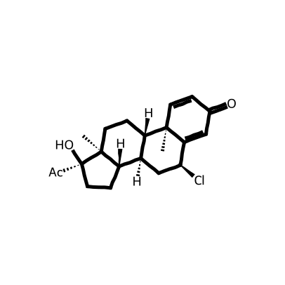 CC(=O)[C@@]1(O)CC[C@H]2[C@@H]3C[C@H](Cl)C4=CC(=O)C=C[C@]4(C)[C@H]3CC[C@@]21C